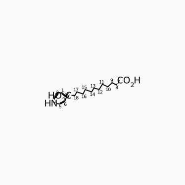 C1=CC=CNC=C1.O=C(O)CCCCCCCCCCCC(=O)O